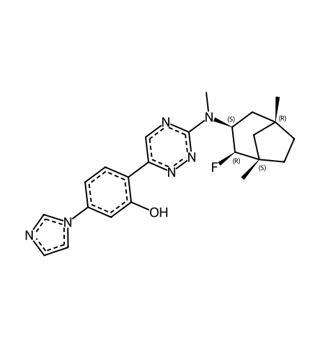 CN(c1ncc(-c2ccc(-n3ccnc3)cc2O)nn1)[C@H]1C[C@]2(C)CC[C@@](C)(C2)[C@H]1F